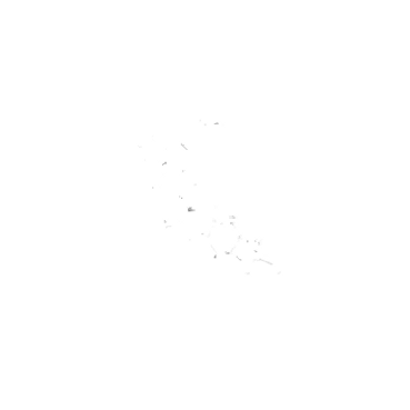 CCCCCCOC(=O)[C@H]1CCCN1C1CCN(C(=O)[C@H](C)Cc2cc(C)c3[nH]c(=O)oc3c2)CC1